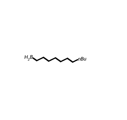 BCCCCCCCCCCC